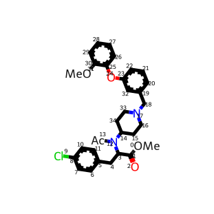 COC(=O)C(Cc1ccc(Cl)cc1)N(C(C)=O)C1CCN(Cc2cccc(Oc3ccccc3OC)c2)CC1